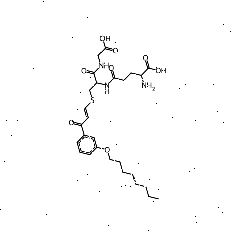 CCCCCCCCOc1cccc(C(=O)C=CSCC(NC(=O)CCC(N)C(=O)O)C(=O)NCC(=O)O)c1